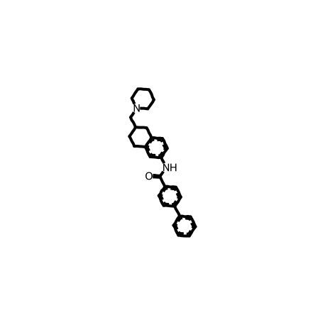 O=C(Nc1ccc2c(c1)CCC(CN1CCCCC1)C2)c1ccc(-c2ccccc2)cc1